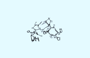 CN(C(=O)O)[C@H]1CCC[C@H]1[C@@H](O)C1(c2ccc(Cl)c(Cl)c2)CCC1